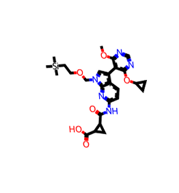 COc1ncnc(OC2CC2)c1-c1cn(COCC[Si](C)(C)C)c2nc(NC(=O)C3CC3C(=O)O)ccc12